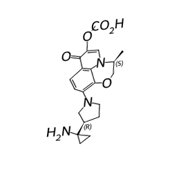 C[C@H]1COc2c(N3CC[C@@H](C4(N)CC4)C3)ccc3c(=O)c(OC(=O)O)cn1c23